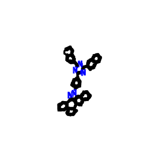 c1ccc(-c2cc3ccccc3c3c2c(-c2ccccc2)nn3-c2ccc(-c3nc(-c4ccc5ccccc5c4)nc(-c4ccc5ccccc5c4)n3)cc2)cc1